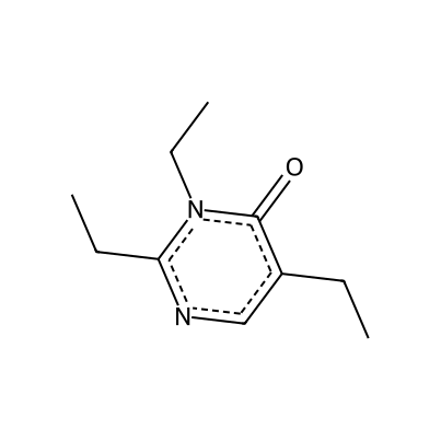 CCc1cnc(CC)n(CC)c1=O